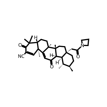 C[C@@H]1[C@H]2[C@H]3C(=O)C=C4[C@@]5(C)C=C(C#N)C(=O)C(C)(C)[C@@H]5CC[C@@]4(C)[C@]3(C)CC[C@@]2(CC(=O)N2CCC2)CC[C@H]1C